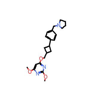 COc1cc(OCC2CC(c3ccc(CN4CCCC4)cc3)C2)nc(OC)n1